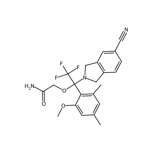 COc1cc(C)cc(C)c1C(OCC(N)=O)(N1Cc2ccc(C#N)cc2C1)C(F)(F)F